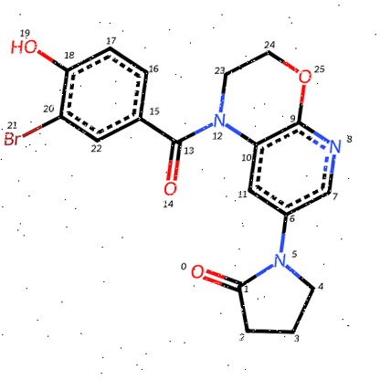 O=C1CCCN1c1cnc2c(c1)N(C(=O)c1ccc(O)c(Br)c1)CCO2